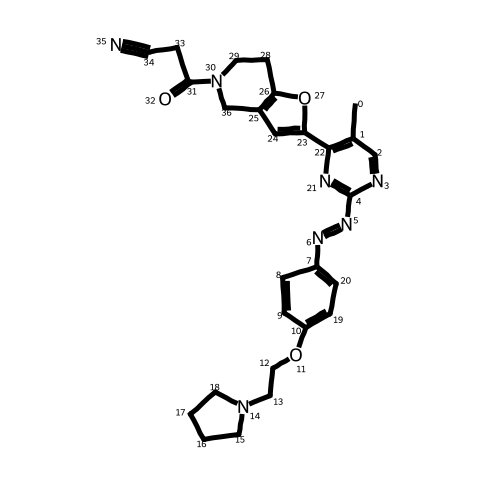 Cc1cnc(N=Nc2ccc(OCCN3CCCC3)cc2)nc1-c1cc2c(o1)CCN(C(=O)CC#N)C2